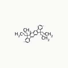 C=CCC1(CC=C)c2c[c]ccc2-c2cc3cc4c(cc3cc21)-c1cc[c]cc1C4(CC=C)CC=C